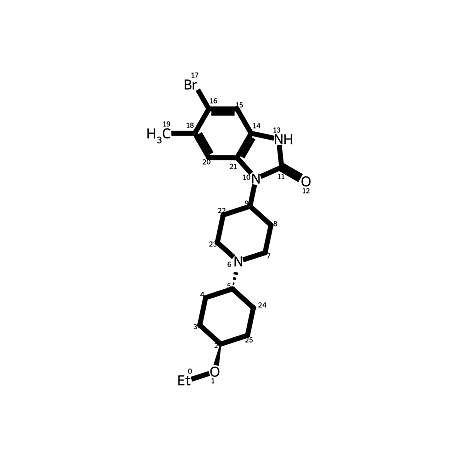 CCO[C@H]1CC[C@H](N2CCC(n3c(=O)[nH]c4cc(Br)c(C)cc43)CC2)CC1